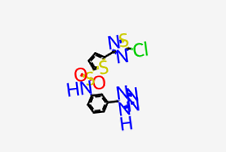 O=S(=O)(Nc1cccc(-c2nnn[nH]2)c1)c1ccc(-c2nsc(Cl)n2)s1